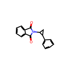 O=C1c2ccccc2C(=O)N1C1CC1c1ccccc1